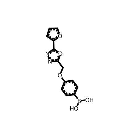 OB(O)c1ccc(OCc2nnc(-c3ccco3)o2)cc1